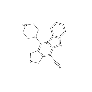 N#Cc1c2c(c(N3CCNCC3)n3c1nc1ccccc13)CSC2